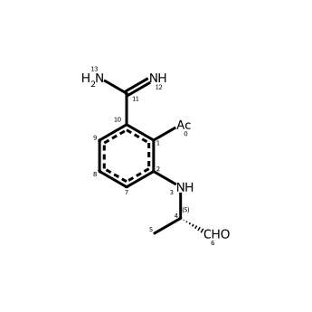 CC(=O)c1c(N[C@@H](C)C=O)cccc1C(=N)N